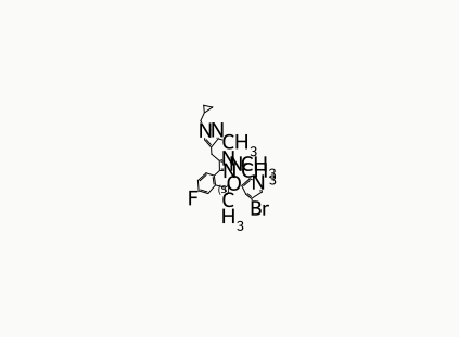 Cc1nn(CC2CC2)cc1Cc1nn(C)nc1-c1ccc(F)cc1[C@H](C)Oc1cc(Br)cnc1C